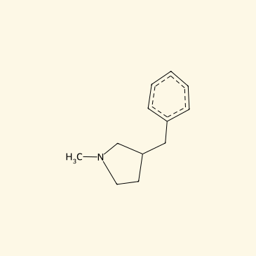 CN1CCC(Cc2ccccc2)C1